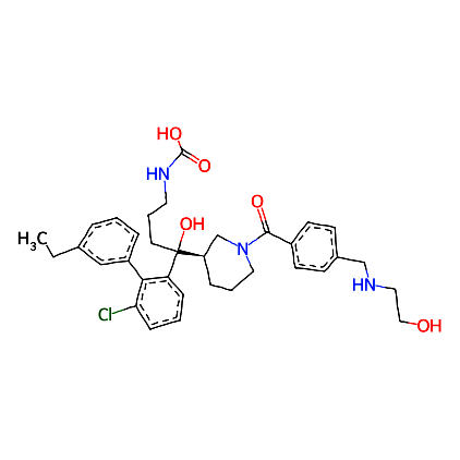 CCc1cccc(-c2c(Cl)cccc2C(O)(CCCNC(=O)O)[C@@H]2CCCN(C(=O)c3ccc(CNCCO)cc3)C2)c1